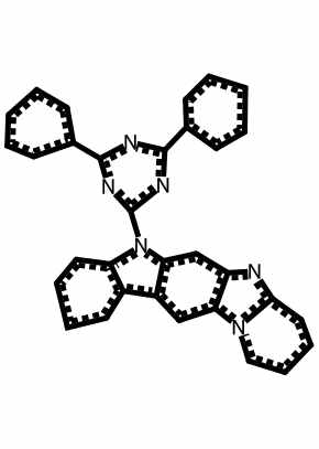 c1ccc(-c2nc(-c3ccccc3)nc(-n3c4ccccc4c4cc5c(cc43)nc3ccccn35)n2)cc1